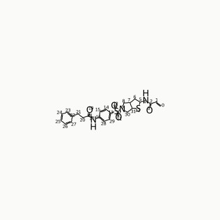 C=CC(=O)NC1CC2CN(S(=O)(=O)c3ccc(NC(=O)CCc4ccccc4)cc3)CC2S1